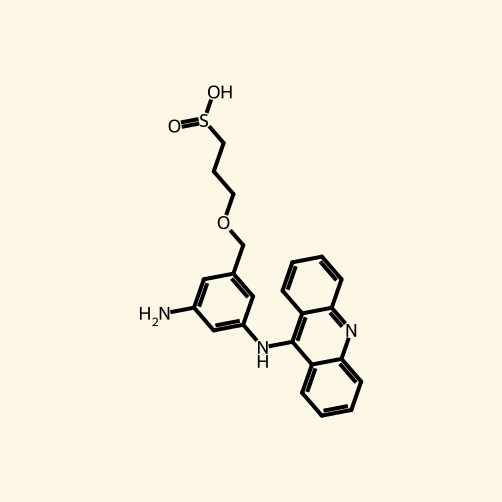 Nc1cc(COCCCS(=O)O)cc(Nc2c3ccccc3nc3ccccc23)c1